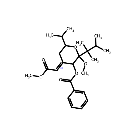 COC(=O)/C=C1\CC(C(C)C)OC(OC)(C(C)(C)C(C)C)C1OC(=O)c1ccccc1